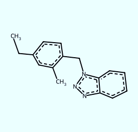 CCc1ccc(Cn2nnc3ccccc32)c(C)c1